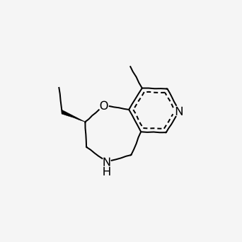 CC[C@@H]1CNCc2cncc(C)c2O1